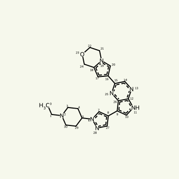 CCN1CCC(n2cc(-c3c[nH]c4ncc(-c5cc6n(c5)CCOC6)nc34)cn2)CC1